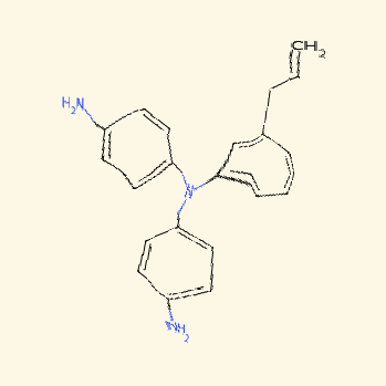 C=CCc1cccc(N(c2ccc(N)cc2)c2ccc(N)cc2)c1